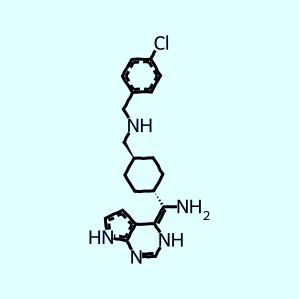 N/C(=C1\NC=Nc2[nH]ccc21)[C@H]1CC[C@H](CNCc2ccc(Cl)cc2)CC1